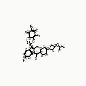 Cc1c(C(=O)Oc2c(F)c(F)c(F)c(F)c2F)c2ccc(F)cc2n1C(C)C1CCC(N2CC(OC(F)F)C2)CC1